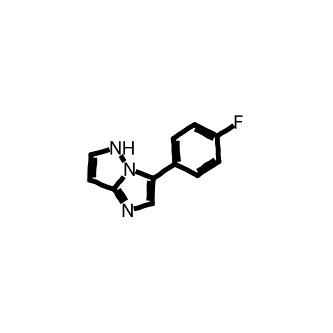 Fc1ccc(-c2cnc3cc[nH]n23)cc1